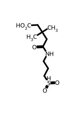 CC(C)(CC(=O)O)CC(=O)NCCC[SH](=O)=O